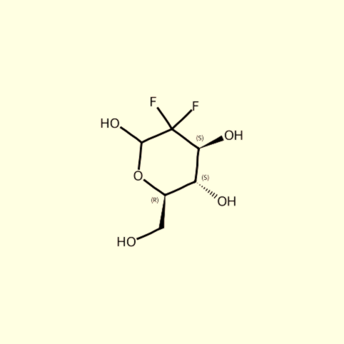 OC[C@H]1OC(O)C(F)(F)[C@@H](O)[C@@H]1O